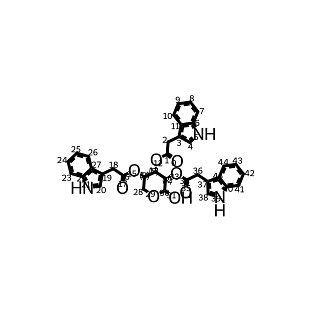 O=C(Cc1c[nH]c2ccccc12)O[C@H]1[C@H](OC(=O)Cc2c[nH]c3ccccc23)COC(O)[C@@H]1OC(=O)Cc1c[nH]c2ccccc12